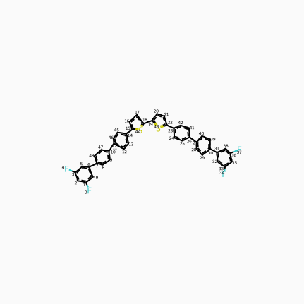 Fc1cc(F)cc(-c2ccc(-c3ccc(-c4ccc(-c5ccc(-c6ccc(-c7ccc(-c8cc(F)cc(F)c8)cc7)cc6)s5)s4)cc3)cc2)c1